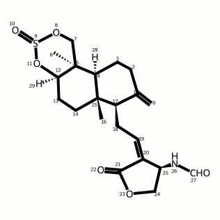 C=C1CC[C@@H]2[C@]3(C)COS(=O)O[C@@H]3CC[C@@]2(C)[C@@H]1C/C=C1\C(=O)OC[C@@H]1NC=O